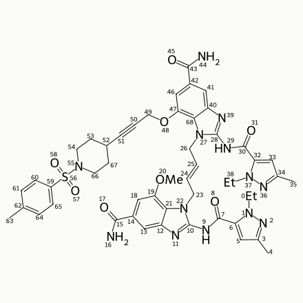 CCn1nc(C)cc1C(=O)Nc1nc2cc(C(N)=O)cc(OC)c2n1CC=CCn1c(NC(=O)c2cc(C)nn2CC)nc2cc(C(N)=O)cc(OCC#CC3CCN(S(=O)(=O)c4ccc(C)cc4)CC3)c21